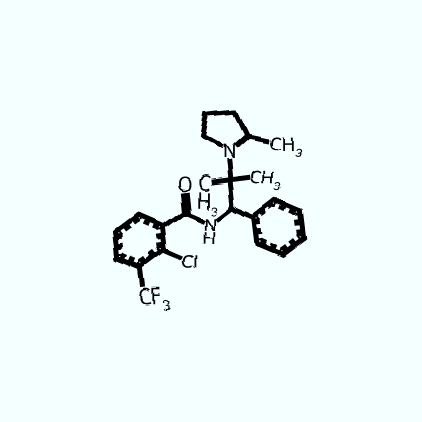 CC1CCCN1C(C)(C)C(NC(=O)c1cccc(C(F)(F)F)c1Cl)c1ccccc1